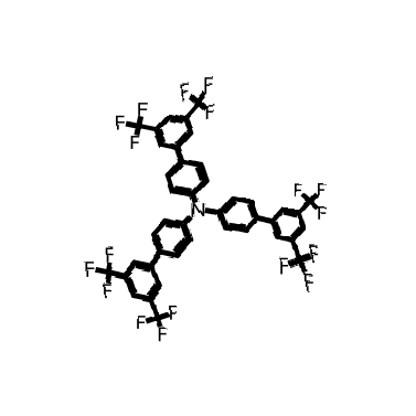 FC(F)(F)c1cc(-c2ccc(N(c3ccc(-c4cc(C(F)(F)F)cc(C(F)(F)F)c4)cc3)c3ccc(-c4cc(C(F)(F)F)cc(C(F)(F)F)c4)cc3)cc2)cc(C(F)(F)F)c1